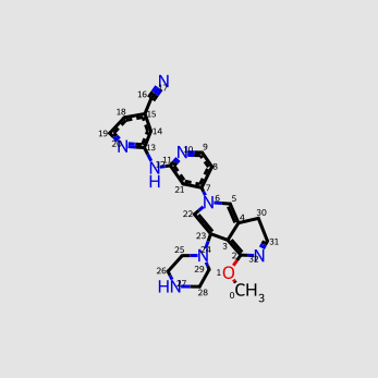 COC1=C2C(=CN(c3ccnc(Nc4cc(C#N)ccn4)c3)C=C2N2CCNCC2)CC=N1